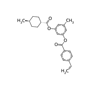 C=Cc1ccc(C(=O)Oc2cc(C)cc(OC(=O)[C@H]3CC[C@H](C)CC3)c2)cc1